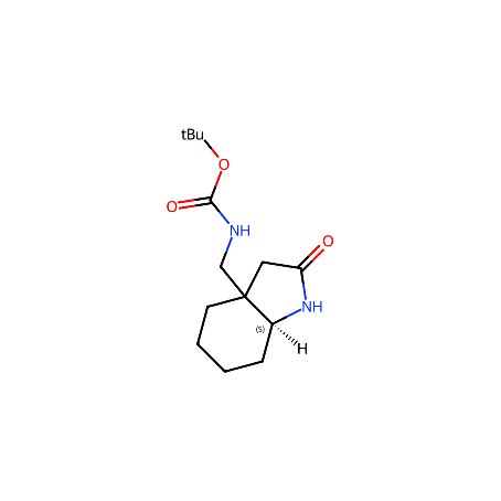 CC(C)(C)OC(=O)NCC12CCCC[C@@H]1NC(=O)C2